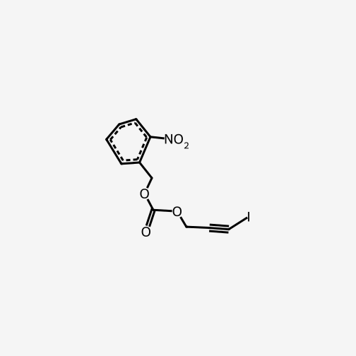 O=C(OCC#CI)OCc1ccccc1[N+](=O)[O-]